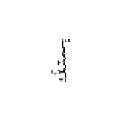 NC(CO)CNCCCCO